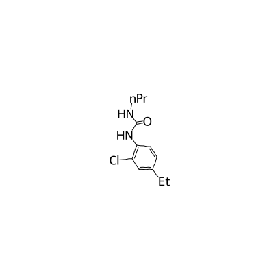 CCCNC(=O)Nc1ccc(CC)cc1Cl